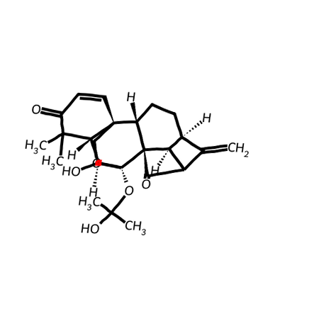 C=C1C2C(=O)[C@]34[C@H]2[C@H]1CC[C@H]3[C@]12C=CC(=O)C(C)(C)[C@H]1[C@H](O)[C@@]4(OC(C)(C)O)OC2